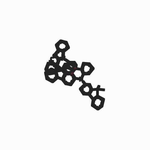 CC1(C)c2ccccc2-c2ccc(N(c3ccc4c(c3)C3(c5ccccc5-4)c4ccccc4-n4c5ccccc5c5cccc3c54)c3ccccc3-c3ccc(-c4ccccc4)cc3)cc21